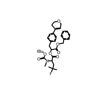 CN(C(=O)OC(C)(C)C)C(CC(C)(C)F)C(=O)OC(Cc1ccc(C2=CCOCC2)cc1)C(=O)OCc1ccccc1